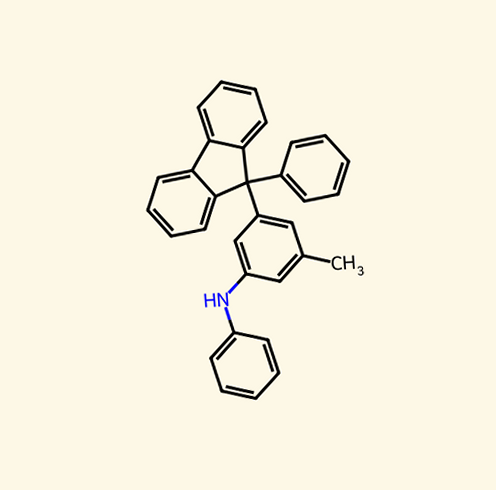 Cc1cc(Nc2ccccc2)cc(C2(c3ccccc3)c3ccccc3-c3ccccc32)c1